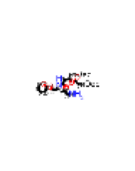 CCCCCCCCCCCC(=O)O[C@H](CCCCCCCCCCC)CC(=O)N[C@H](CCCN)COC1CCCCO1